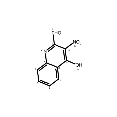 O=Cc1nc2ccccc2c(O)c1[N+](=O)[O-]